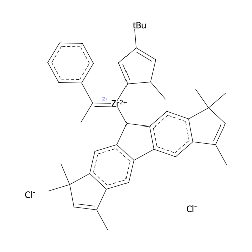 CC1=CC(C)(C)c2cc3c(cc21)-c1cc2c(cc1[CH]3/[Zr+2]([C]1=CC(C(C)(C)C)=CC1C)=[C](\C)c1ccccc1)C(C)(C)C=C2C.[Cl-].[Cl-]